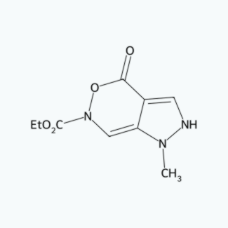 CCOC(=O)N1C=C2C(=CNN2C)C(=O)O1